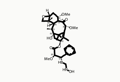 CO[C@H]1C(=O)[C@]2(C)[C@@H](OC)C[C@H]3OC[C@@]3(C)[C@H]2[C@H](C)[C@]2(O)C[C@H](OC(=O)[C@H](OC)[C@@H](BCNO)c3ccccc3)C(C)=C1C2(C)C